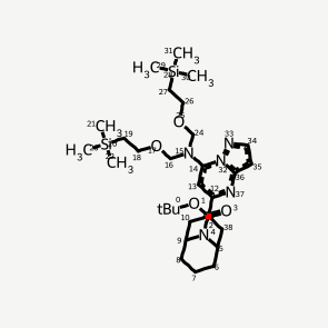 CC(C)(C)OC(=O)N1C2CCCC1CC(c1cc(N(COCC[Si](C)(C)C)COCC[Si](C)(C)C)n3nccc3n1)C2